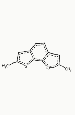 Cc1cc2ccc3cc(C)sc3c2o1